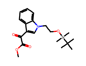 COC(=O)C(=O)c1cn(CCO[Si](C)(C)C(C)(C)C)c2ccccc12